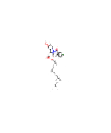 CCOc1ccc2c(c1)c(CC(=O)OCC=C(C)CCC=C(C)CCC=C(C)CCC=C(C)C)c(C)n2C(=O)c1cccc(Cl)c1